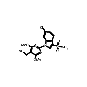 COc1nc(-n2cc(S(N)(=O)=O)c3ccc(Cl)cc32)nc(OC)c1CC#N